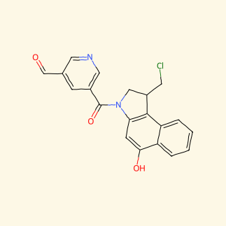 O=Cc1cncc(C(=O)N2CC(CCl)c3c2cc(O)c2ccccc32)c1